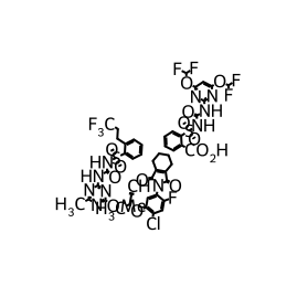 C#CC(C)Oc1cc(N2C(=O)C3=C(CCCC3)C2=O)c(F)cc1Cl.COc1nc(C)nc(NC(=O)NS(=O)(=O)c2ccccc2CCC(F)(F)F)n1.O=C(Nc1nc(OC(F)F)cc(OC(F)F)n1)NS(=O)(=O)c1ccccc1C(=O)O